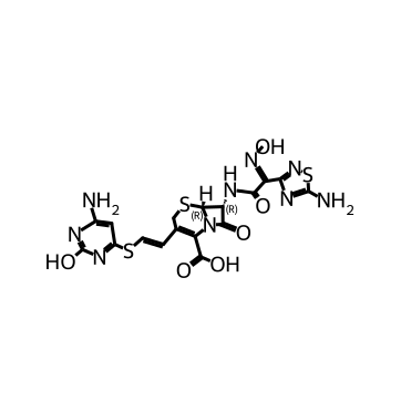 Nc1cc(SC=CC2=C(C(=O)O)N3C(=O)[C@@H](NC(=O)C(=NO)c4nsc(N)n4)[C@H]3SC2)nc(O)n1